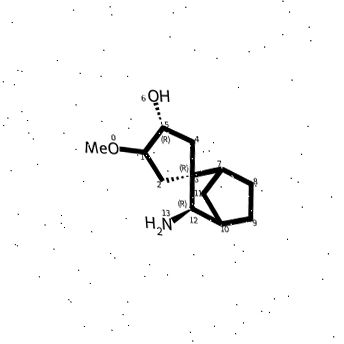 COC1C[C@]2(C[C@H]1O)C1CCC(C1)[C@H]2N